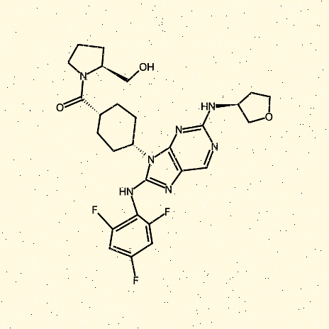 O=C([C@H]1CC[C@@H](n2c(Nc3c(F)cc(F)cc3F)nc3cnc(N[C@H]4CCOC4)nc32)CC1)N1CCC[C@H]1CO